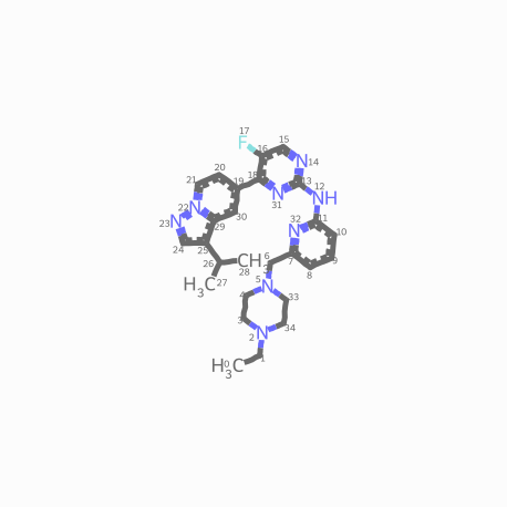 CCN1CCN(Cc2cccc(Nc3ncc(F)c(-c4ccn5ncc(C(C)C)c5c4)n3)n2)CC1